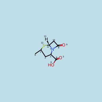 CC1CC(C(=O)O)N2C(=O)C[C@H]2S1